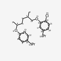 CC(CCC(C)Oc1ccc(C(C)C)cn1)COc1cc(C(C)C)ccc1Cl